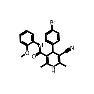 COc1ccccc1NC(=O)C1=C(C)NC(C)=C(C#N)C1c1ccc(Br)cc1